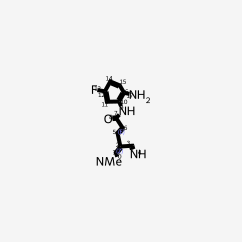 CN/C=C(C=N)/C=C/C(=O)Nc1cc(F)ccc1N